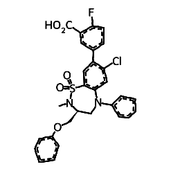 CN1[C@H](COc2ccccc2)CN(c2ccccc2)c2cc(Cl)c(-c3ccc(F)c(C(=O)O)c3)cc2S1(=O)=O